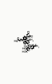 Nc1ccn([C@@H]2O[C@H](CO)[C@@H](O)C2(F)F)c(=O)n1.Nc1nc(=S)c2[nH]cnc2[nH]1.O=C(O)CCCc1ccc(N(CCCl)CCCl)cc1.S